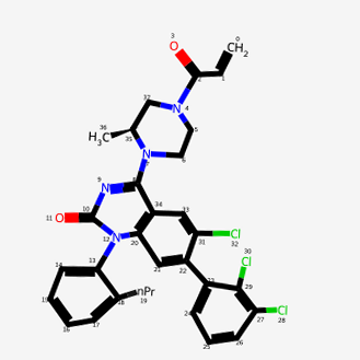 C=CC(=O)N1CCN(c2nc(=O)n(-c3ccccc3CCC)c3cc(-c4cccc(Cl)c4Cl)c(Cl)cc23)[C@@H](C)C1